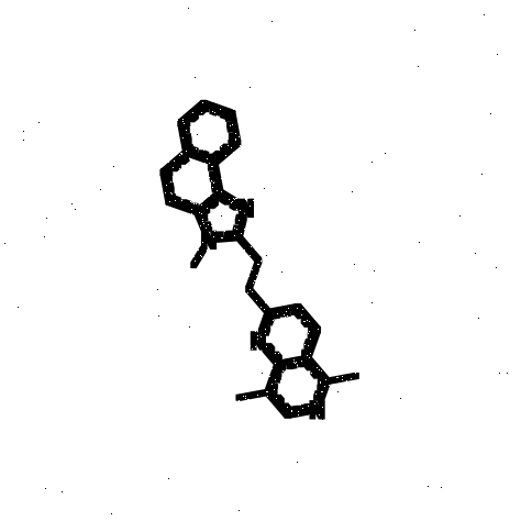 Cc1ncc(C)c2nc(CCc3nc4c5ccccc5ccc4n3C)ccc12